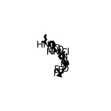 CCCC(C)Nc1cccc(S(=O)(=O)NC(=O)c2ccc(-n3ccc(OCCC4(C(F)(F)F)CC4)n3)nc2Cl)n1